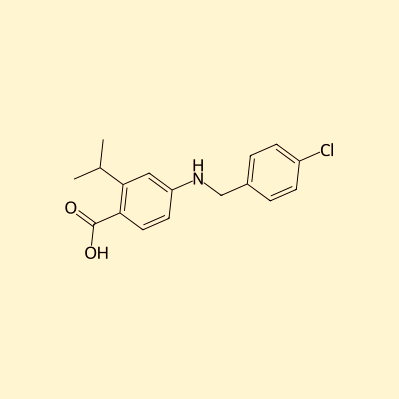 CC(C)c1cc(NCc2ccc(Cl)cc2)ccc1C(=O)O